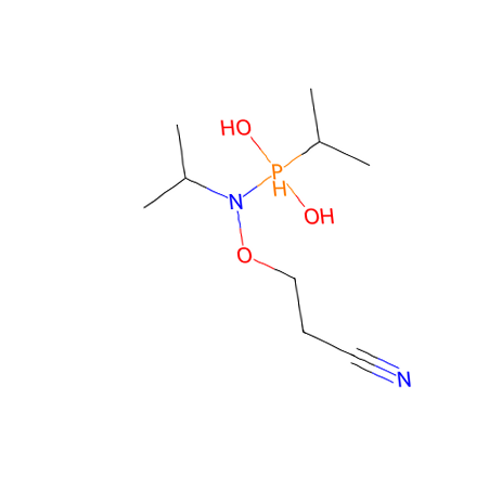 CC(C)N(OCCC#N)[PH](O)(O)C(C)C